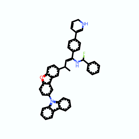 CC(/C=C(\NC(F)c1ccccc1)c1ccc(C2=CNCC=C2)cc1)c1ccc2oc3ccc(-n4c5ccccc5c5ccccc54)cc3c2c1